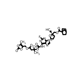 C#C[C@@]1(COC(=O)C23CCC(CC2)C3)CC[C@H](n2cnc3c(NC(=O)OC(C)(C)CC(=O)OCc4oc(=O)oc4C)nc(F)nc32)O1